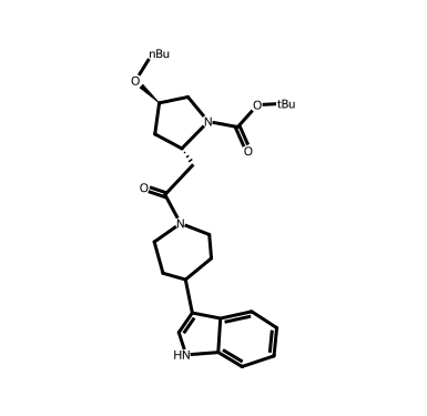 CCCCO[C@@H]1C[C@@H](CC(=O)N2CCC(c3c[nH]c4ccccc34)CC2)N(C(=O)OC(C)(C)C)C1